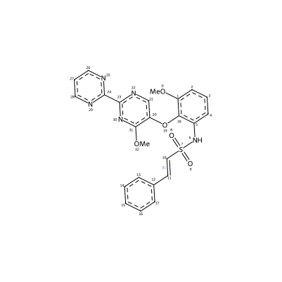 COc1cccc(NS(=O)(=O)/C=C/c2ccccc2)c1Oc1cnc(-c2ncccn2)nc1OC